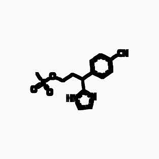 CS(=O)(=O)OCCC(c1ccc(C#N)cc1)c1ncc[nH]1